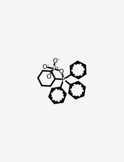 [O-][I+3]([O-])([O-])OP(c1ccccc1)(c1ccccc1)(c1ccccc1)C1CCCCC1